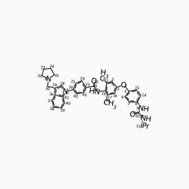 Cc1cc(Oc2ccc(NC(=O)NC(C)C)cc2)cc(C)c1NC(=O)c1ccc(-n2cc(CN3CCCC3)c3ccccc32)cc1